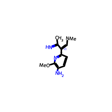 CN/C=C(\C(C)=N)c1ccc(N)c(OC)n1